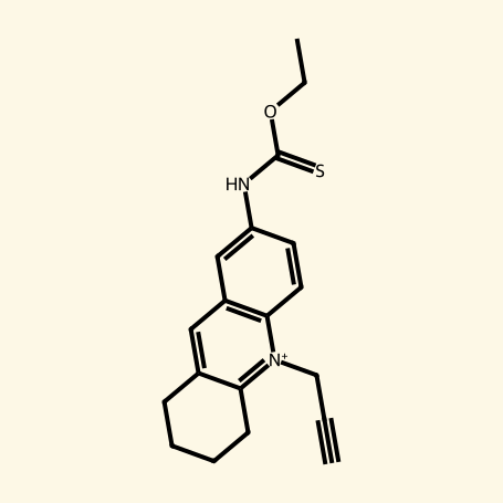 C#CC[n+]1c2c(cc3cc(NC(=S)OCC)ccc31)CCCC2